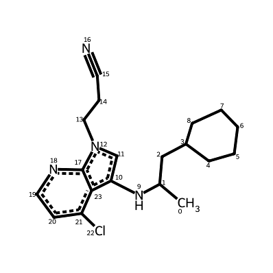 CC(CC1CCCCC1)Nc1cn(CCC#N)c2nccc(Cl)c12